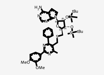 COc1ccc(-c2nc(C)c(CSC[C@H]3O[C@@H](n4ccc5c(N)ncnc54)[C@H](O[Si](C)(C)C(C)(C)C)[C@@H]3O[Si](C)(C)C(C)(C)C)c(-c3ccccc3)n2)cc1OC